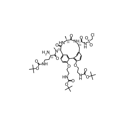 C[C@@H]1NC(=O)[C@@H](N(C)C(=O)[C@@H](N)CCNC(=O)OC(C)(C)C)c2ccc(OCCNC(=O)OC(C)(C)C)c(c2)-c2cc(ccc2OCCNC(=O)OC(C)(C)C)C[C@@H](C(=O)NS(=O)(=O)CCl)NC1=O